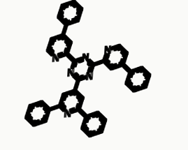 c1ccc(-c2ccnc(-c3nc(-c4cc(-c5ccccc5)nc(-c5ccccc5)c4)nc(-c4cc(-c5ccccc5)ccn4)n3)c2)cc1